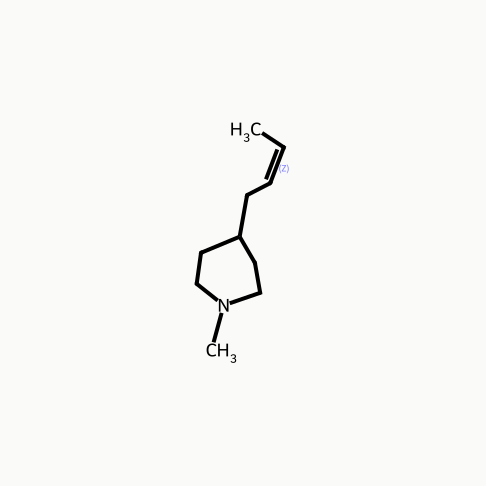 C/C=C\CC1CCN(C)CC1